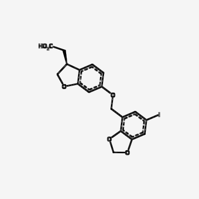 O=C(O)C[C@@H]1COc2cc(OCc3cc(I)cc4c3OCO4)ccc21